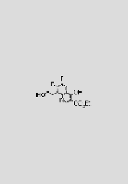 CCOC(=O)c1cnc2c(CCO)c(F)c(F)cc2c1O